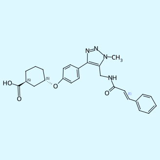 Cn1nnc(-c2ccc(O[C@H]3CCC[C@H](C(=O)O)C3)cc2)c1CNC(=O)/C=C/c1ccccc1